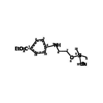 CCOC(=O)c1ccc(NCCO[Si](C)(C)C(C)(C)C)cc1